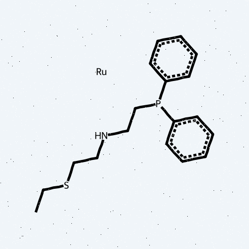 CCSCCNCCP(c1ccccc1)c1ccccc1.[Ru]